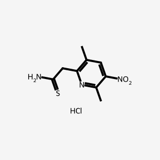 Cc1cc([N+](=O)[O-])c(C)nc1CC(N)=S.Cl